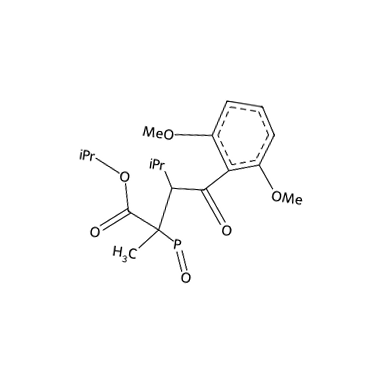 COc1cccc(OC)c1C(=O)C(C(C)C)C(C)(P=O)C(=O)OC(C)C